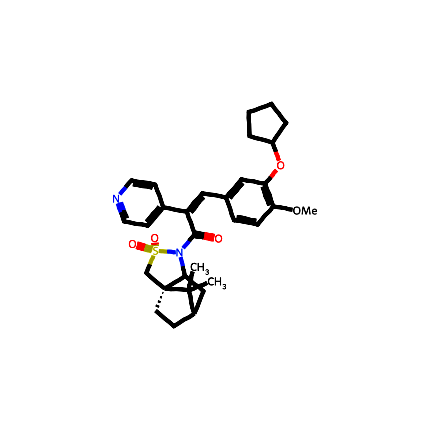 COc1ccc(/C=C(\C(=O)N2C3CC4CC[C@@]3(CS2(=O)=O)C4(C)C)c2ccncc2)cc1OC1CCCC1